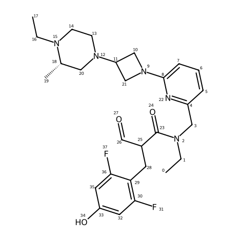 CCN(Cc1cccc(N2CC(N3CCN(CC)[C@@H](C)C3)C2)n1)C(=O)C(C=O)Cc1c(F)cc(O)cc1F